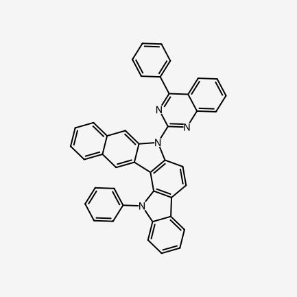 c1ccc(-c2nc(-n3c4cc5ccccc5cc4c4c3ccc3c5ccccc5n(-c5ccccc5)c34)nc3ccccc23)cc1